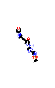 O=C1CC(Nc2ccnc(-c3cnn(S(=O)(=O)C4CC4)c3)n2)=NC=C1C#Cc1cnn(C2CCOCC2)c1